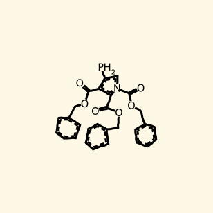 O=C(OCc1ccccc1)c1c(P)cn(C(=O)OCc2ccccc2)c1C(=O)OCc1ccccc1